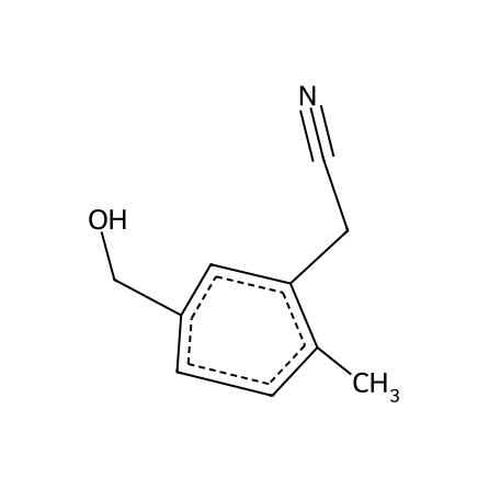 Cc1ccc(CO)cc1CC#N